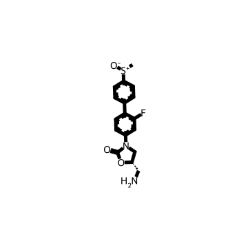 C[S+]([O-])c1ccc(-c2ccc(N3C[C@H](CN)OC3=O)cc2F)cc1